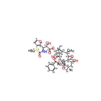 CCCCSC(=O)N[C@@H](c1ccco1)[C@@H](O)C(=O)O[C@H]1C[C@@]2(O)[C@@H](OC(=O)c3ccccc3)[C@@H]3[C@]4(OC(C)=O)OC[C@@H]4C[C@H](O)[C@@]3(C)C(=O)[C@H](OC(C)=O)C(=C1C)C2(C)C